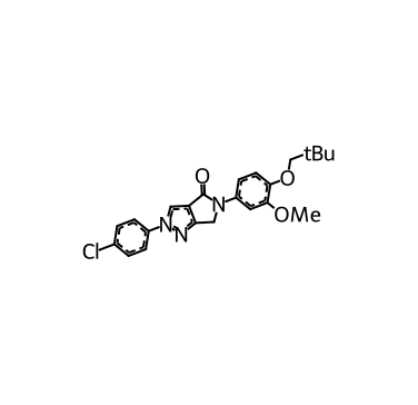 COc1cc(N2Cc3nn(-c4ccc(Cl)cc4)cc3C2=O)ccc1OCC(C)(C)C